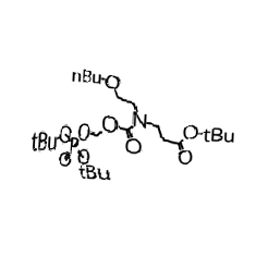 CCCCOCCN(CCC(=O)OC(C)(C)C)C(=O)OCOP(=O)(OC(C)(C)C)OC(C)(C)C